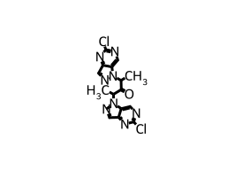 CC(C(=O)C(C)n1ncc2nc(Cl)ncc21)n1ncc2nc(Cl)ncc21